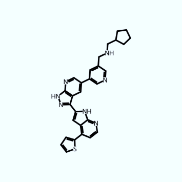 c1csc(-c2ccnc3[nH]c(-c4n[nH]c5ncc(-c6cncc(CNCC7CCCC7)c6)cc45)cc23)c1